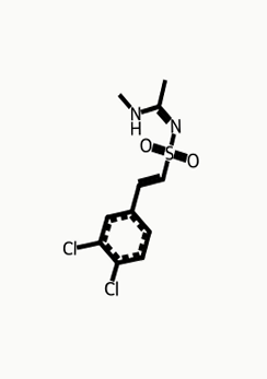 CNC(C)=NS(=O)(=O)C=Cc1ccc(Cl)c(Cl)c1